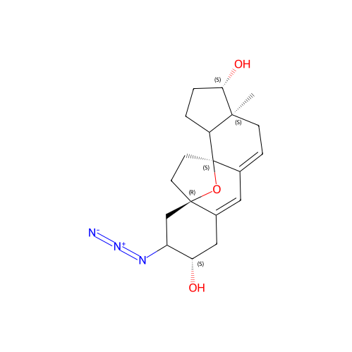 C[C@]12CC=C3C=C4C[C@H](O)C(N=[N+]=[N-])C[C@]45CC[C@]3(O5)C1CC[C@@H]2O